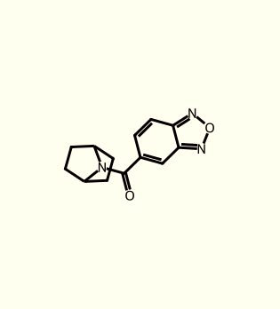 O=C(c1ccc2nonc2c1)N1C2CCC1CC2